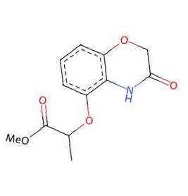 COC(=O)C(C)Oc1cccc2c1NC(=O)CO2